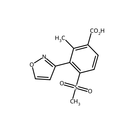 Cc1c(C(=O)O)ccc(S(C)(=O)=O)c1-c1ccon1